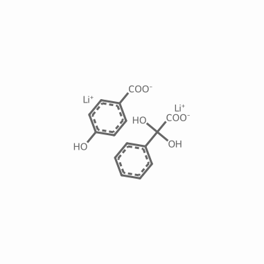 O=C([O-])C(O)(O)c1ccccc1.O=C([O-])c1ccc(O)cc1.[Li+].[Li+]